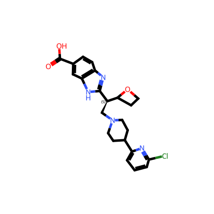 O=C(O)c1ccc2nc([C@H](CN3CCC(c4cccc(Cl)n4)CC3)C3CCO3)[nH]c2c1